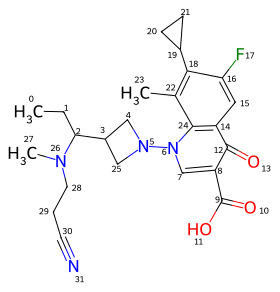 CCC(C1CN(n2cc(C(=O)O)c(=O)c3cc(F)c(C4CC4)c(C)c32)C1)N(C)CCC#N